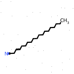 CCCCCCCCCCCCCCC/C=C/CC#N